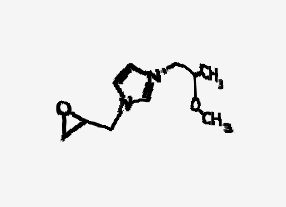 COC(C)C[n+]1ccn(CC2CO2)c1